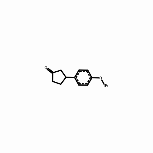 CC(C)Oc1ccc(C2CCC(=O)C2)cc1